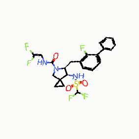 O=C(NCC(F)F)N1CC2(CC2)[C@H](NS(=O)(=O)C(F)F)[C@@H]1Cc1cccc(-c2ccccc2)c1F